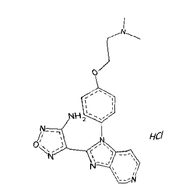 CN(C)CCOc1ccc(-n2c(-c3nonc3N)nc3cnccc32)cc1.Cl